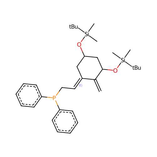 C=C1/C(=C/CP(c2ccccc2)c2ccccc2)CC(O[Si](C)(C)C(C)(C)C)CC1O[Si](C)(C)C(C)(C)C